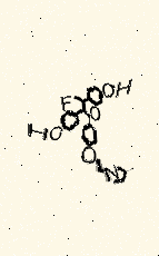 CC1=C(c2ccc(O)cc2F)[C@H](c2ccc(OCCN3CC[C@@H](C)C3)cc2)Oc2cc(O)ccc21